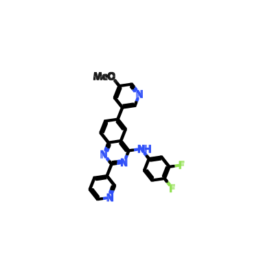 COc1cncc(-c2ccc3nc(-c4cccnc4)nc(Nc4ccc(F)c(F)c4)c3c2)c1